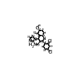 COc1ccc2nc(-c3ccc(Cl)cc3Cl)c(CN)c(-n3cncn3)c2c1C